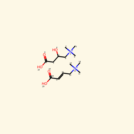 C[N+](C)(C)CC(O)CC(=O)O.C[N+](C)(C)CC=CC(=O)O